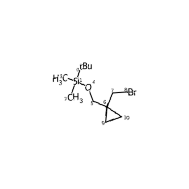 CC(C)(C)[Si](C)(C)OCC1(CBr)CC1